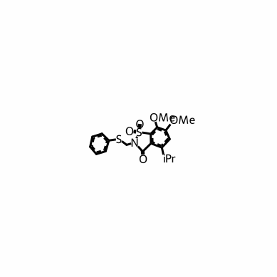 COc1cc(C(C)C)c2c(c1OC)S(=O)(=O)N(CSc1ccccc1)C2=O